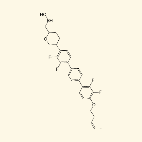 C/C=C\CCOc1ccc(-c2ccc(-c3ccc(C4CCC(CBO)OC4)c(F)c3F)cc2)c(F)c1F